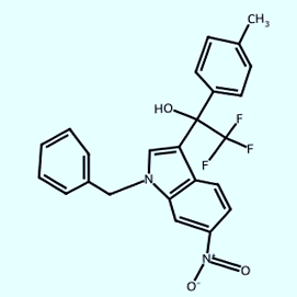 Cc1ccc(C(O)(c2cn(Cc3ccccc3)c3cc([N+](=O)[O-])ccc23)C(F)(F)F)cc1